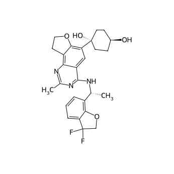 Cc1nc(N[C@H](C)c2cccc3c2OCC3(F)F)c2cc([C@]3(O)CC[C@H](O)CC3)c3c(c2n1)CCO3